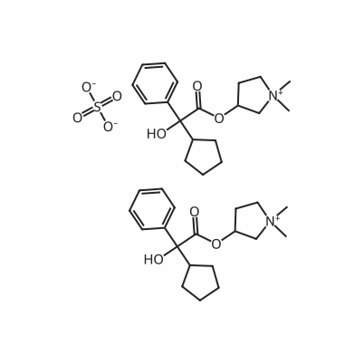 C[N+]1(C)CCC(OC(=O)C(O)(c2ccccc2)C2CCCC2)C1.C[N+]1(C)CCC(OC(=O)C(O)(c2ccccc2)C2CCCC2)C1.O=S(=O)([O-])[O-]